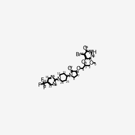 COCC(CO[C@H]1CCN(C2CCN(c3ncc(C(F)(F)F)cn3)CC2)C1=O)Oc1cn[nH]c(=O)c1Br